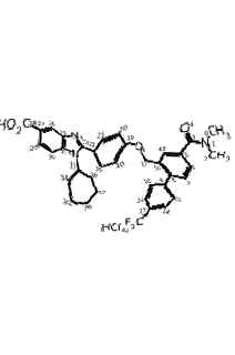 CN(C)C(=O)c1ccc(-c2ccc(C(F)(F)F)cc2)c(COc2ccc(-c3nc4cc(C(=O)O)ccc4n3C3CCCCC3)cc2)c1.Cl